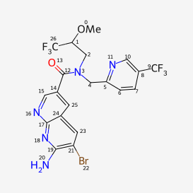 COC(CN(Cc1ccc(C(F)(F)F)cn1)C(=O)c1cnc2nc(N)c(Br)cc2c1)C(F)(F)F